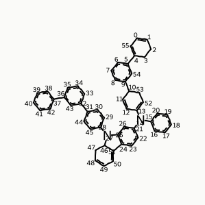 C1=CCCC(c2cccc(C3C=CC(N(c4ccccc4)c4ccc5c(c4)N(c4ccc(-c6cccc(-c7ccccc7)c6)cc4)C4CC=CC=C54)=CC3)c2)=C1